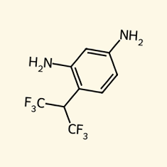 Nc1ccc(C(C(F)(F)F)C(F)(F)F)c(N)c1